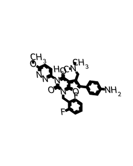 COc1ccc(-n2c(=O)c3c(CN(C)C)c(-c4ccc(N)cc4)oc3n(Cc3c(F)cccc3F)c2=O)nn1